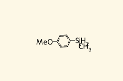 COc1ccc([SiH2]C)cc1